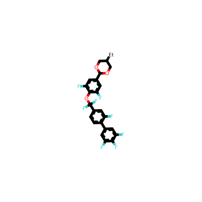 CCC1COC(c2cc(F)c(OC(F)(F)c3ccc(-c4cc(F)c(F)c(F)c4)c(F)c3)c(F)c2)OC1